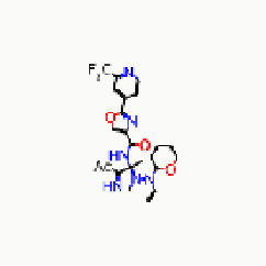 C=CN(C1CCCCO1)N(C)C(C)(NC(=O)c1coc(-c2ccnc(C(F)(F)F)c2)n1)C(=N)C(C)=O